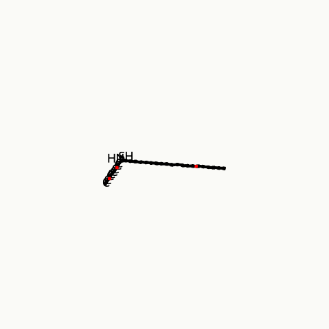 C#CC#CC#CC#CC#CC#CC#CC#CC#CC#CC#CC#CC#CC#CC#CC#CC#CC#CC#CC#CC(=C=C=C=C=C=C=C=C=C=C=C)NS